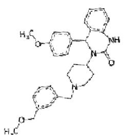 COCc1cccc(CN2CCC(N3C(=O)Nc4ccccc4C3c3ccc(OC)cc3)CC2)c1